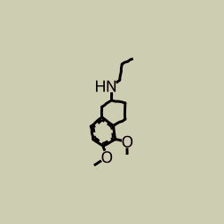 CCCNC1CCc2c(ccc(OC)c2OC)C1